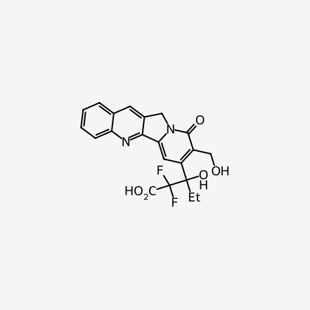 CCC(O)(c1cc2n(c(=O)c1CO)Cc1cc3ccccc3nc1-2)C(F)(F)C(=O)O